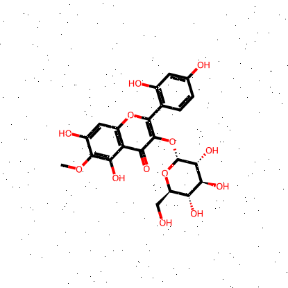 COc1c(O)cc2oc(-c3ccc(O)cc3O)c(O[C@H]3O[C@H](CO)[C@@H](O)[C@H](O)[C@H]3O)c(=O)c2c1O